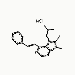 Cc1c(C)n(CC(C)C)c2c(C=Cc3ccccc3)nccc12.Cl